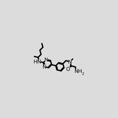 CCCCC(C)Nc1ncc(-c2cccc(CN(C)C(=O)CN)c2)cn1